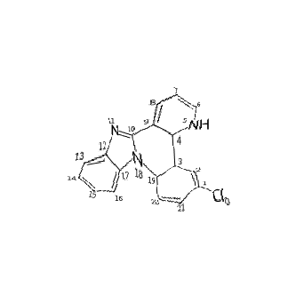 ClC1=CC2C3NC=CC=C3c3nc4ccccc4n3C2C=C1